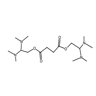 CN(C)C(COC(=O)CCC(=O)OCC(N(C)C)N(C)C)N(C)C